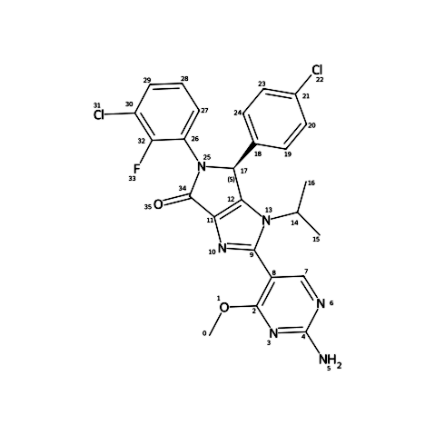 COc1nc(N)ncc1-c1nc2c(n1C(C)C)[C@H](c1ccc(Cl)cc1)N(c1cccc(Cl)c1F)C2=O